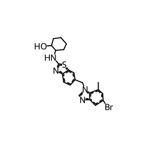 Cc1cc(Br)cc2ncn(Cc3ccc4nc(NC5CCCCC5O)sc4c3)c12